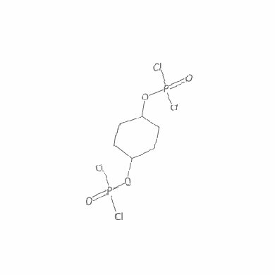 O=P(Cl)(Cl)OC1CCC(OP(=O)(Cl)Cl)CC1